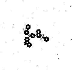 CC1(C)c2ccccc2-c2cc(N(c3ccc(-c4cc5nc(-c6ccccc6)oc5c5ccccc45)cc3)c3ccc4oc5ccccc5c4c3)ccc21